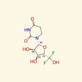 O=C1CCN([C@@H]2O[C@H](C(O)(F)F)[C@@H](O)[C@H]2O)C(=O)N1